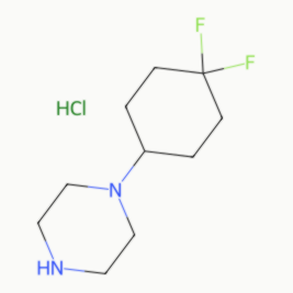 Cl.FC1(F)CCC(N2CCNCC2)CC1